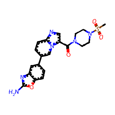 CS(=O)(=O)N1CCN(C(=O)c2cnc3ccc(-c4ccc5oc(N)nc5c4)cn23)CC1